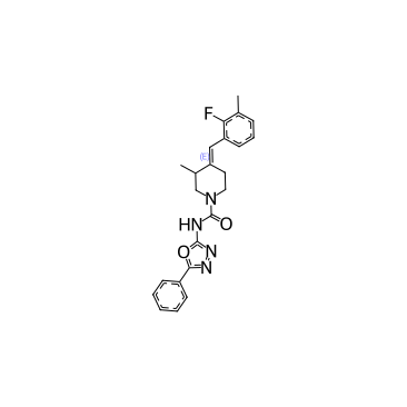 Cc1cccc(/C=C2\CCN(C(=O)Nc3nnc(-c4ccccc4)o3)CC2C)c1F